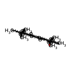 CCCCCCCCC(OC(=O)CC)C(CCCCCCCC(=O)OCCCCCCOC(=O)CCCCCCCC(OC(=O)CC)C(CCCCCCCC)OC(=O)CC)OC(=O)CC